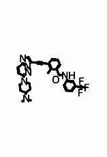 Cc1c(C#Cc2cnc3ccc(N4CCC(N(C)C)CC4)nn23)cccc1C(=O)Nc1cccc(C(F)(F)F)c1